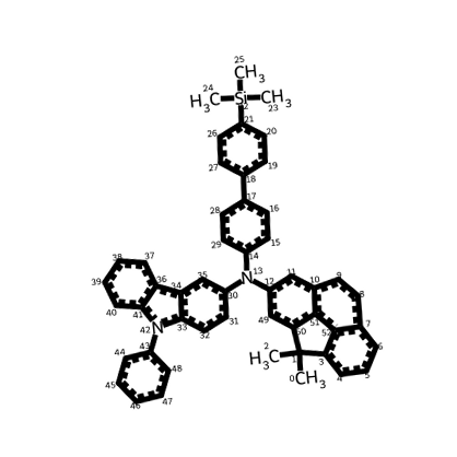 CC1(C)c2cccc3ccc4cc(N(c5ccc(-c6ccc([Si](C)(C)C)cc6)cc5)c5ccc6c(c5)c5ccccc5n6-c5ccccc5)cc1c4c23